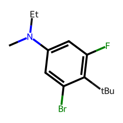 CCN(C)c1cc(F)c(C(C)(C)C)c(Br)c1